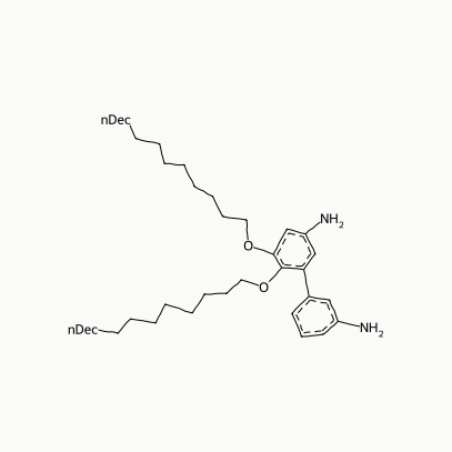 CCCCCCCCCCCCCCCCCCOc1cc(N)cc(-c2cccc(N)c2)c1OCCCCCCCCCCCCCCCCCC